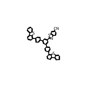 N#Cc1ccc2nc(-c3cc(-c4ccc(-c5cccc6c5sc5ccccc56)cc4)cc(-c4ccc(-c5cccc6c5sc5ccccc56)cc4)c3)sc2c1